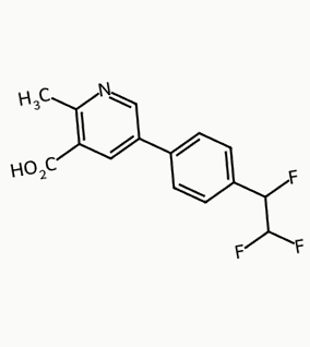 Cc1ncc(-c2ccc(C(F)C(F)F)cc2)cc1C(=O)O